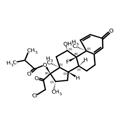 CC(C)C(=O)O[C@]1(C(=O)CCl)[C@@H](C)C[C@H]2[C@@H]3CCC4=CC(=O)C=C[C@]4(C)[C@@]3(F)[C@@H](O)C[C@@]21C